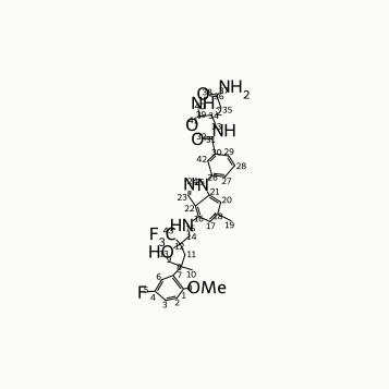 COc1ccc(F)cc1C(C)(C)CC(O)(CNc1cc(C)cc2c1cnn2-c1cccc(C(=O)N[C@@H](CC(N)=O)C(N)=O)c1)C(F)(F)F